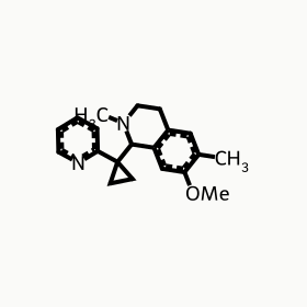 COc1cc2c(cc1C)CCN(C)C2C1(c2ccccn2)CC1